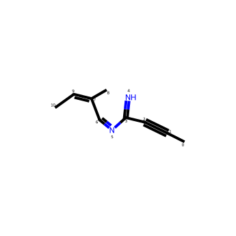 CC#CC(=N)/N=C\C(C)=C/C